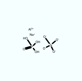 O=P(O)(O)O.[Al+3].[Na+].[O-][Si]([O-])([O-])[O-]